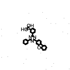 OB(O)c1cccc(-c2nc(-c3ccccc3)nc(-c3ccc4c(c3)oc3ccccc34)n2)c1